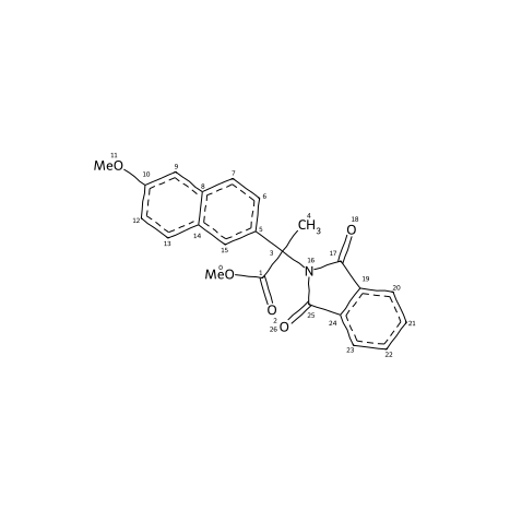 COC(=O)C(C)(c1ccc2cc(OC)ccc2c1)N1C(=O)c2ccccc2C1=O